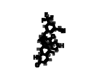 Cc1cc(CN(Cc2cc(C#N)cc(C(F)(F)F)c2)C(=O)C2(CC3CC3)CCNC2)cc2[nH]c(=O)ccc12